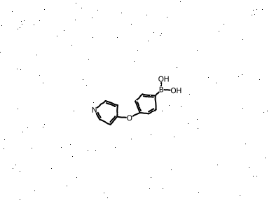 OB(O)c1ccc(Oc2ccncc2)cc1